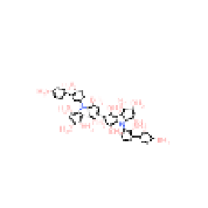 Bc1ccc(-c2cc(-n3c4c(B)cc(B)c(B)c4c4c(B)c(-c5cc(B)c6c(c5B)c5c(B)c(B)cc(B)c5n6-c5cccc(-c6ccc(B)cc6)c5B)cc(B)c43)ccc2B)cc1